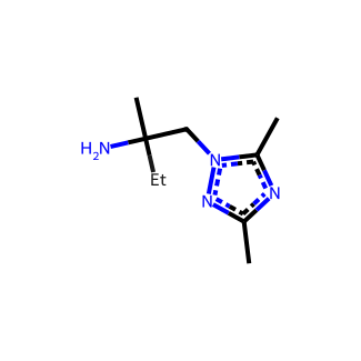 CCC(C)(N)Cn1nc(C)nc1C